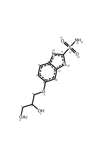 CC(=O)OCC(O)COc1ccc2nc(S(N)(=O)=O)sc2c1